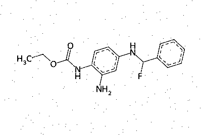 CCOC(=O)Nc1ccc(NC(F)c2ccccc2)cc1N